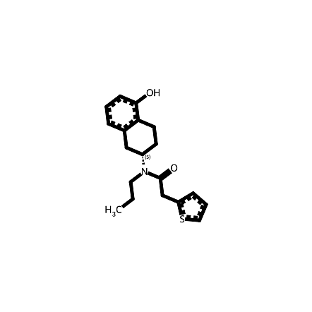 CCCN(C(=O)Cc1cccs1)[C@H]1CCc2c(O)cccc2C1